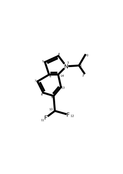 CC(C)n1ccc2ccc(C(F)F)cc21